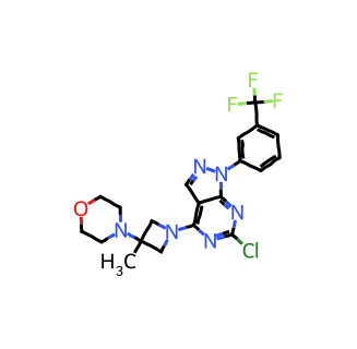 CC1(N2CCOCC2)CN(c2nc(Cl)nc3c2cnn3-c2cccc(C(F)(F)F)c2)C1